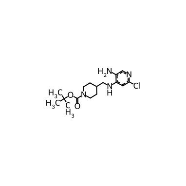 CC(C)(C)OC(=O)N1CCC(CNc2cc(Cl)ncc2N)CC1